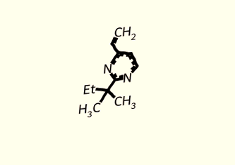 C=Cc1ccnc(C(C)(C)CC)n1